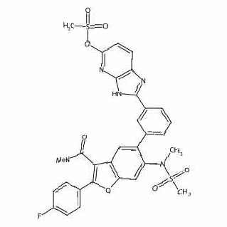 CNC(=O)c1c(-c2ccc(F)cc2)oc2cc(N(C)S(C)(=O)=O)c(-c3cccc(-c4nc5ccc(OS(C)(=O)=O)nc5[nH]4)c3)cc12